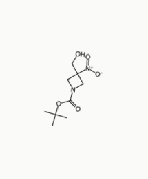 CC(C)(C)OC(=O)N1CC(CO)([N+](=O)[O-])C1